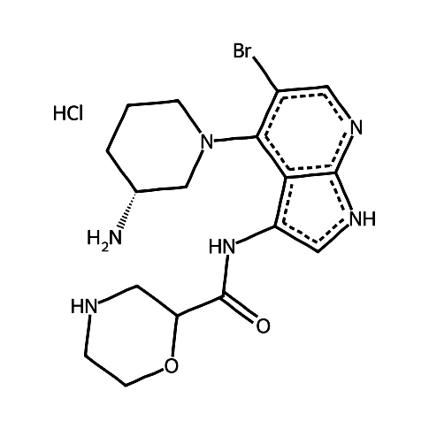 Cl.N[C@@H]1CCCN(c2c(Br)cnc3[nH]cc(NC(=O)C4CNCCO4)c23)C1